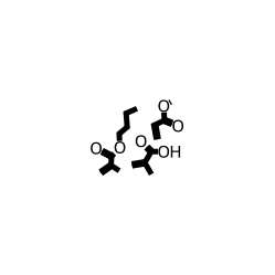 C=C(C)C(=O)O.C=C(C)C(=O)OCCCC.C=CC(=O)OC